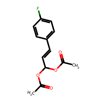 CC(=O)OC(C=Cc1ccc(F)cc1)OC(C)=O